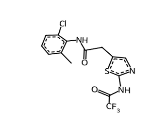 Cc1cccc(Cl)c1NC(=O)Cc1cnc(NC(=O)C(F)(F)F)s1